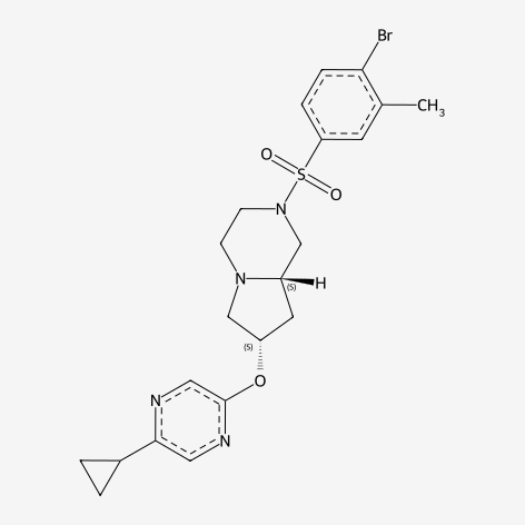 Cc1cc(S(=O)(=O)N2CCN3C[C@@H](Oc4cnc(C5CC5)cn4)C[C@H]3C2)ccc1Br